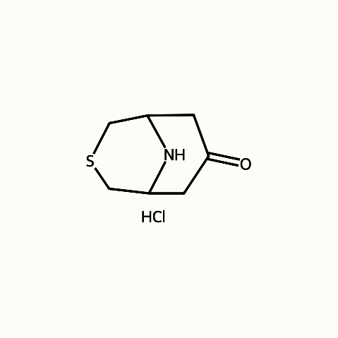 Cl.O=C1CC2CSCC(C1)N2